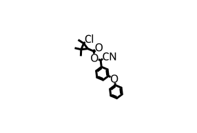 CC1(C)C(C(=O)OC(C#N)c2cccc(Oc3ccccc3)c2)C1(C)Cl